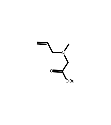 C=CCN(C)CC(=O)OCC(C)C